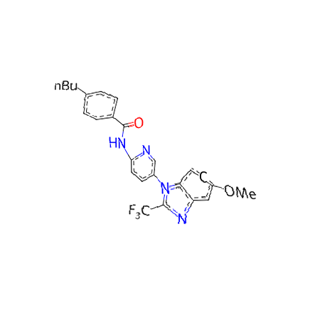 CCCCc1ccc(C(=O)Nc2ccc(-n3c(C(F)(F)F)nc4cc(OC)ccc43)cn2)cc1